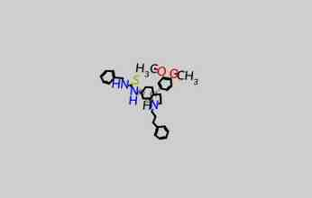 COc1ccc([C@@]23CC[C@@H](NC(=S)NCc4ccccc4)C[C@@H]2N(CCCc2ccccc2)CC3)cc1OC